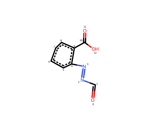 O=CN=Nc1ccccc1C(=O)O